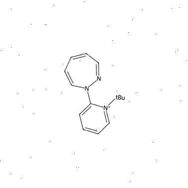 CC(C)(C)[n+]1ccccc1N1C=CC=CC=N1